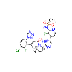 CS(=O)(=O)Nc1nccc(-c2cnc([C@@H]3CC[C@@H]4CC(c5c(-n6cnnn6)ccc(Cl)c5F)=CC(=O)N43)[nH]2)c1F